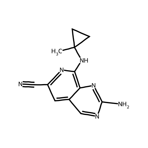 CC1(Nc2nc(C#N)cc3cnc(N)nc23)CC1